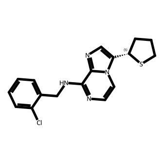 Clc1ccccc1CNc1nccn2c([C@@H]3CCCS3)cnc12